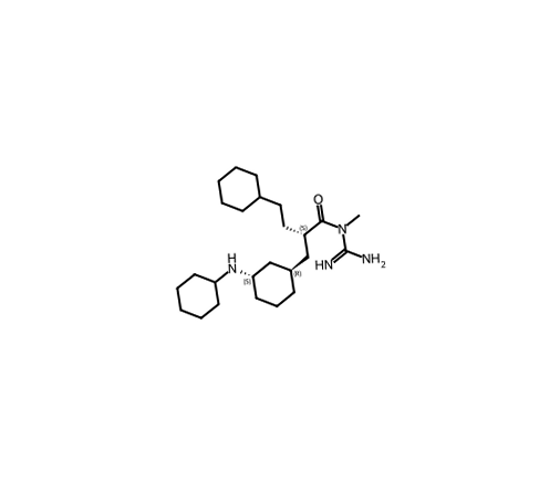 CN(C(=N)N)C(=O)[C@@H](CCC1CCCCC1)C[C@H]1CCC[C@H](NC2CCCCC2)C1